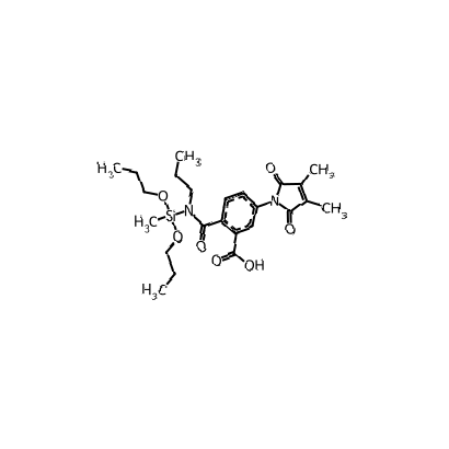 CCCO[Si](C)(OCCC)N(CCC)C(=O)c1ccc(N2C(=O)C(C)=C(C)C2=O)cc1C(=O)O